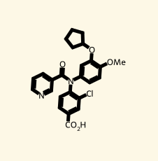 COc1ccc(N(C(=O)c2cccnc2)c2ccc(C(=O)O)cc2Cl)cc1OC1CCCC1